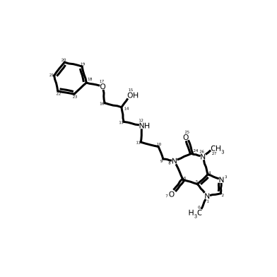 Cn1cnc2c1c(=O)n(CCCNCC(O)COc1ccccc1)c(=O)n2C